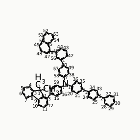 CC1(C)c2ccccc2-c2cccc(-c3ccc(N(c4ccc(-c5ccc(-c6ccccc6)cc5)cc4)c4ccc(-c5cccc(-c6cccc7ccccc67)c5)cc4)cc3)c21